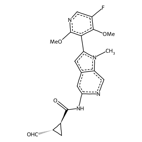 COc1ncc(F)c(OC)c1-c1cc2cc(NC(=O)[C@H]3C[C@@H]3C=O)ncc2n1C